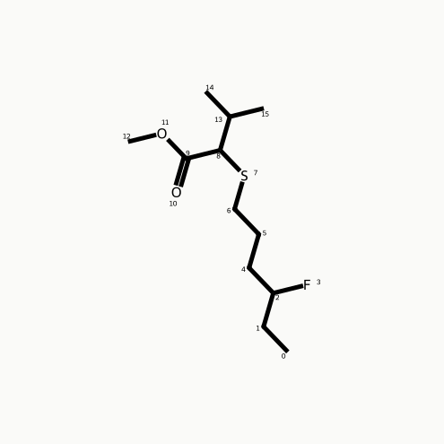 CCC(F)CCCSC(C(=O)OC)C(C)C